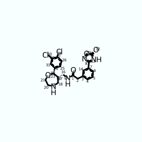 O=C(Cc1cccc(-c2noc(=O)[nH]2)c1)NC[C@@H]1CNCCO[C@H]1c1ccc(Cl)c(Cl)c1